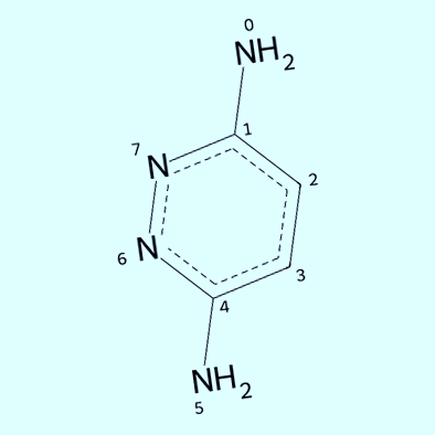 Nc1ccc(N)nn1